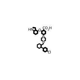 O=C(O)c1ccc(N2CCN(CC3=C(c4ccc(Cl)cc4)CCCC3)CC2)cc1Oc1cccc2[nH]ccc12